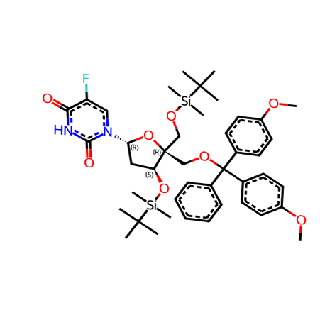 COc1ccc(C(OC[C@]2(CO[Si](C)(C)C(C)(C)C)O[C@@H](n3cc(F)c(=O)[nH]c3=O)C[C@@H]2O[Si](C)(C)C(C)(C)C)(c2ccccc2)c2ccc(OC)cc2)cc1